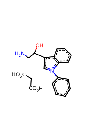 NCC(O)c1cn(-c2ccccc2)c2ccccc12.O=C(O)CC(=O)O